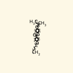 C=CCCCCOc1ccc(C(=O)Oc2ccc(OCC(C)CC)cc2)cc1